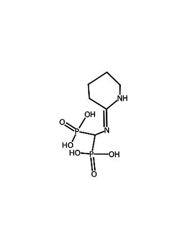 O=P(O)(O)C(N=C1CCCCN1)P(=O)(O)O